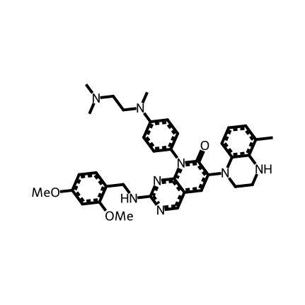 COc1ccc(CNc2ncc3cc(N4CCNc5c(C)cccc54)c(=O)n(-c4ccc(N(C)CCN(C)C)cc4)c3n2)c(OC)c1